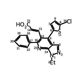 CCn1ncc2c(-c3ccc(Cl)s3)c(C=CC(=O)O)c(-c3ccccc3)nc21